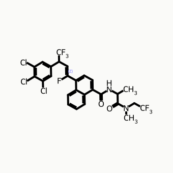 CC(NC(=O)c1ccc(/C(F)=C/C(c2cc(Cl)c(Cl)c(Cl)c2)C(F)(F)F)c2ccccc12)C(=O)N(C)CC(F)(F)F